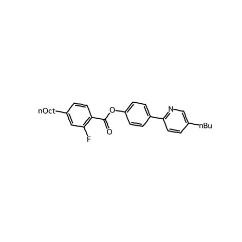 CCCCCCCCc1ccc(C(=O)Oc2ccc(-c3ccc(CCCC)cn3)cc2)c(F)c1